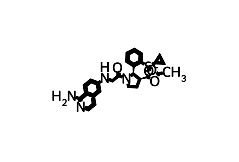 CC1OC([C@H]2CCN(C(=O)CNc3ccc4c(N)nccc4c3)[C@H]2c2ccccc2[S+]([O-])C2CC2)O1